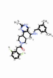 Cc1cc(C)cc(CNC(c2cnc(C)nc2C2CCN(C(=O)Cc3c(F)cccc3F)CC2)C(F)(F)F)c1